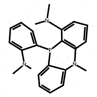 CN(C)c1ccccc1P(c1ccccc1N(C)C)c1ccccc1N(C)C